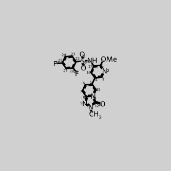 COc1ncc(-c2ccc3nn(C)c(=O)n3c2)cc1NS(=O)(=O)c1ccc(F)cc1F